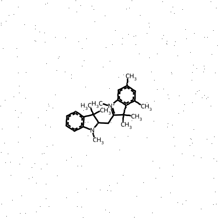 Cc1cc(C)c2c(c1)[N+](C)=C(CC1N(C)c3ccccc3C1(C)C)C2(C)C